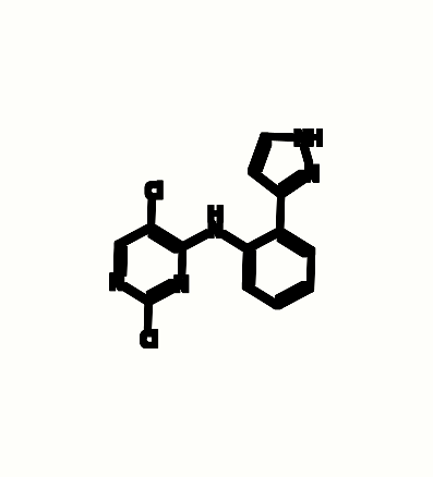 Clc1ncc(Cl)c(Nc2ccccc2-c2cc[nH]n2)n1